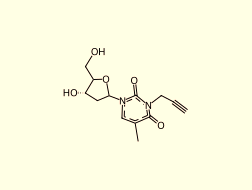 C#CCn1c(=O)c(C)cn(C2C[C@H](O)C(CO)O2)c1=O